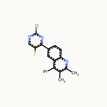 Cc1nc2ccc(-c3nc(Cl)ncc3F)cc2c(C(C)C)c1C